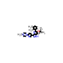 BC(B)(B)Oc1cc2[nH]nc(-c3ccc(N4CCN(C)CC4)nc3)c2nc1-c1cccc(C)c1C